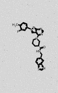 Cc1ccc(-n2cc3c(N4CCC[C@@H](C(=O)NCc5ccc6scnc6c5)C4)ncnc3n2)cc1F